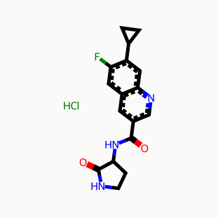 Cl.O=C(NC1CCNC1=O)c1cnc2cc(C3CC3)c(F)cc2c1